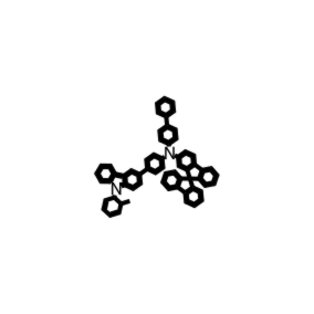 CC1C=CC=CC1n1c2ccccc2c2cc(-c3ccc(N(c4ccc(-c5ccccc5)cc4)c4ccc5c(c4)C4(c6ccccc6-c6ccccc64)c4ccccc4-5)cc3)ccc21